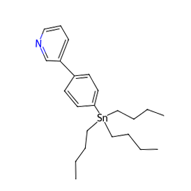 CCC[CH2][Sn]([CH2]CCC)([CH2]CCC)[c]1ccc(-c2cccnc2)cc1